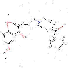 COc1ccc2occ(CCCN3CCC(C(=O)c4ccccc4)CC3)c(=O)c2c1